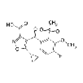 COc1c(F)ccc(C(=O)c2c(C(=O)O)noc2C2CC2)c1S(C)(=O)=O